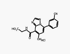 Cl.N#Cc1cccc(-c2cc(O)c(C(=O)NCC(=O)O)c3ncnn23)c1